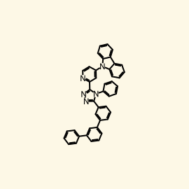 c1ccc(-c2cccc(-c3cccc(-c4nnc(-c5cc(-n6c7ccccc7c7ccccc76)ccn5)n4-c4ccccc4)c3)c2)cc1